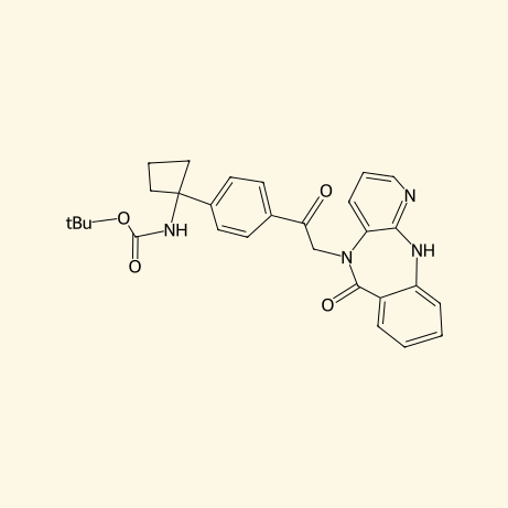 CC(C)(C)OC(=O)NC1(c2ccc(C(=O)CN3C(=O)c4ccccc4Nc4ncccc43)cc2)CCC1